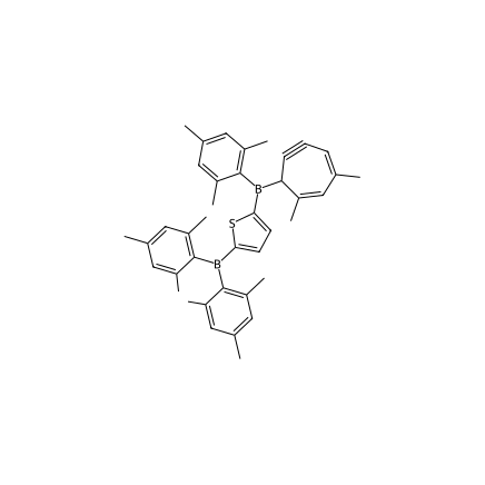 CC1=CC#CC(B(c2ccc(B(c3c(C)cc(C)cc3C)c3c(C)cc(C)cc3C)s2)c2c(C)cc(C)cc2C)C(C)=C1